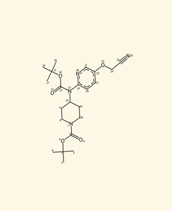 CC(C)(C)OC(=O)N1CCC(N(C(=O)OC(C)(C)C)c2ccc(OCC#N)cn2)CC1